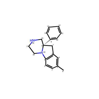 Cc1ccc2c(c1)C[C@]1(c3ccccc3)CNCCN21